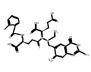 CCN(Cc1cc2c(=O)[nH]c(C)nc2cc1C)N(C(=O)CC[C@H](NC(=O)c1ccccc1F)C(=O)O)[C@H](CCC(=O)O)C(=O)O